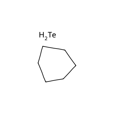 C1CCCCC1.[TeH2]